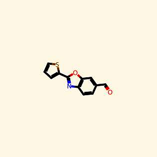 O=Cc1ccc2nc(-c3cccs3)oc2c1